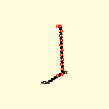 CCCCCCCCCCCCCCCCOCCOC(CC)COCCOCCOCCOCCOCCOCCOCCOCCOCCO